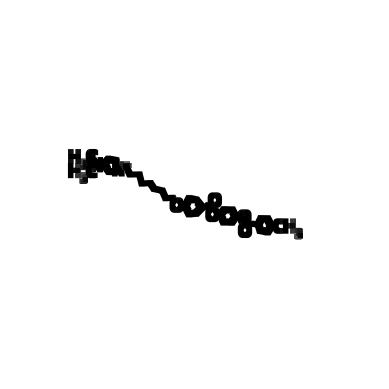 Cc1ccc(C(=O)Oc2ccc(OC(=O)c3ccc(OCCCCCCCCC[n+]4ccc(N(C)C)cc4)cc3)cc2)cc1